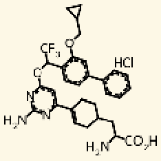 Cl.Nc1nc(OC(c2ccc(-c3ccccc3)cc2OCC2CC2)C(F)(F)F)cc(C2=CCC(CC(N)C(=O)O)CC2)n1